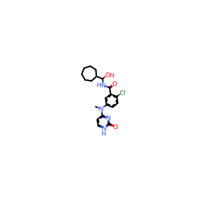 CN(c1ccc(Cl)c(C(=O)NC(O)C2CCCCCC2)c1)c1cc[nH]c(=O)n1